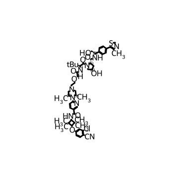 Cc1ncsc1-c1ccc([C@H](CO)NC(=O)[C@@H]2C[C@@H](O)CN2C(=O)[C@@H](NC(=O)COCCN2C[C@@H](C)N(c3ccc(C(=O)NC4C(C)(C)C(Oc5ccc(C#N)c(Cl)c5)C4(C)C)cn3)[C@@H](C)C2)C(C)(C)C)cc1